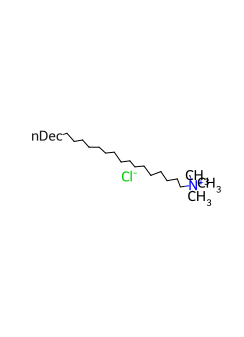 CCCCCCCCCCCCCCCCCCCCCCCCCC[N+](C)(C)C.[Cl-]